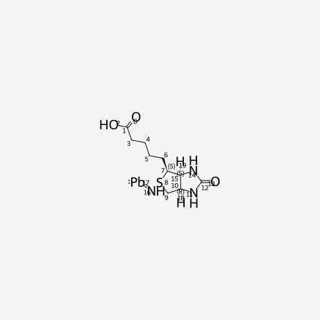 O=C(O)CCCC[C@@H]1SC[C@@H]2NC(=O)N[C@@H]21.[NH]=[Pb]